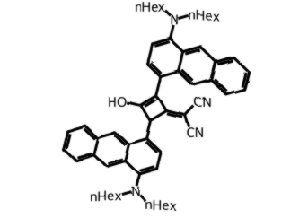 CCCCCCN(CCCCCC)c1ccc(C2=C(O)C(c3ccc(N(CCCCCC)CCCCCC)c4cc5ccccc5cc34)C2=C(C#N)C#N)c2cc3ccccc3cc12